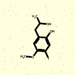 COc1cc(CC(C)O)c(O)cc1I